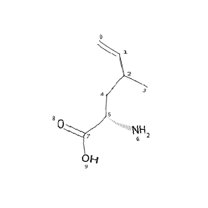 C=CC(C)C[C@H](N)C(=O)O